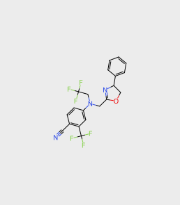 N#Cc1ccc(N(CC2=NC(c3ccccc3)CO2)CC(F)(F)F)cc1C(F)(F)F